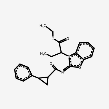 CCOC(=O)C(CC)n1/c(=N\C(=O)C2CC2c2ccccc2)sc2ccccc21